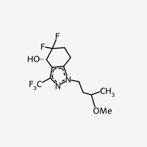 COC(C)CCn1nc(C(F)(F)F)c2c1CCC(F)(F)[C@H]2O